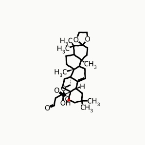 CC1(C)CC[C@]2(C(=O)O)CC[C@]3(COC(=O)CC=O)C(=CCC4[C@@]5(C)CCC6(OCCO6)C(C)(C)C5CC[C@]43C)[C@@H]2C1